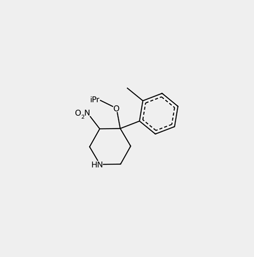 Cc1ccccc1C1(OC(C)C)CCNCC1[N+](=O)[O-]